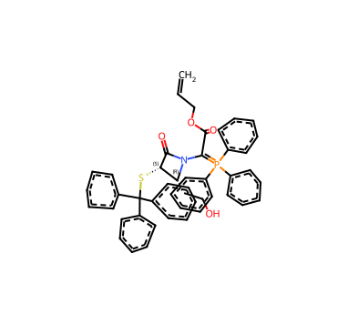 C=CCOC(=O)C(N1C(=O)[C@@H](SC(c2ccccc2)(c2ccccc2)c2ccccc2)[C@H]1CCO)=P(c1ccccc1)(c1ccccc1)c1ccccc1